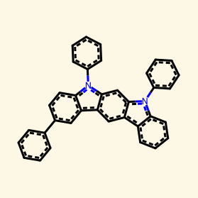 c1ccc(-c2ccc3c(c2)c2cc4c5ccccc5n(-c5ccccc5)c4cc2n3-c2ccccc2)cc1